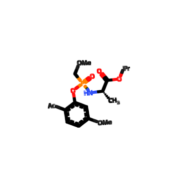 COCP(=O)(N[C@@H](C)C(=O)OC(C)C)Oc1cc(OC)ccc1C(C)=O